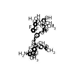 C=CC(=O)N1CCN(c2nc(OCCN3CCC(COc4cc([C@H](C(=O)N5C[C@H](O)C[C@H]5C(=O)N[C@@H](C)c5ccc(-c6c(F)cccc6F)cc5)C(C)C)on4)CC3)nc3c(F)c(-c4nc(N)cc(C)c4C(F)(F)F)c(Cl)cc23)[C@@H](C)C1